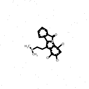 CN(C)CCc1c2n(c3c(Cl)cc(Cl)c(Cl)c13)C(=O)c1ccccc1-2